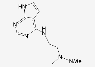 CNN(C)CCNc1ncnc2[nH]ccc12